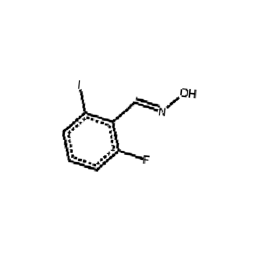 ON=Cc1c(F)cccc1I